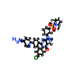 Cc1ccc(C)n1S(=O)(=O)c1cccc(-n2ncc3c(=O)n(-c4ccc(Cl)cc4)c(-c4ccc(-c5ccc(N)cn5)cc4)nc32)c1